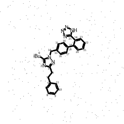 CCC(C)c1nc(CCc2ccccc2)nn1Cc1ccc(-c2ccccc2-c2nnn[nH]2)cc1